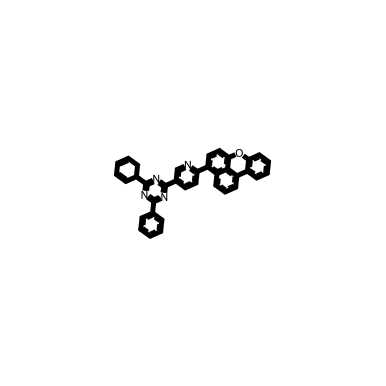 C1=CCC(c2nc(-c3ccccc3)nc(-c3ccc(-c4ccc5c6c(cccc46)-c4ccccc4O5)nc3)n2)C=C1